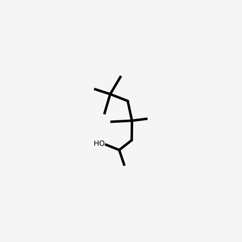 CC(O)CC(C)(C)CC(C)(C)C